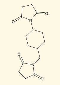 O=C1CCC(=O)N1CC1CCC(N2C(=O)CCC2=O)CC1